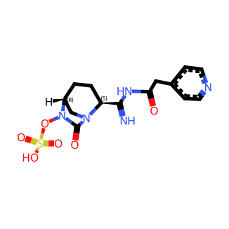 N=C(NC(=O)Cc1ccncc1)[C@@H]1CC[C@@H]2CN1C(=O)N2OS(=O)(=O)O